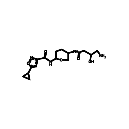 NCC(O)CC(=O)NC1CCC(NC(=O)c2cc(C3CC3)on2)CC1